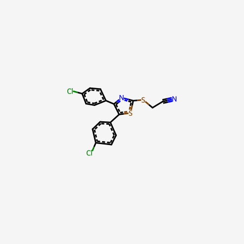 N#CCSc1nc(-c2ccc(Cl)cc2)c(-c2ccc(Cl)cc2)s1